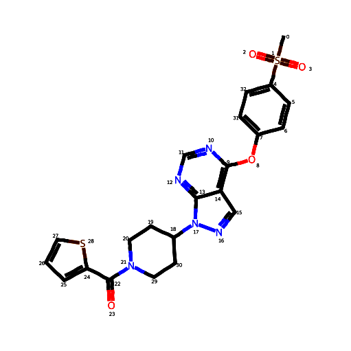 CS(=O)(=O)c1ccc(Oc2ncnc3c2cnn3C2CCN(C(=O)c3cccs3)CC2)cc1